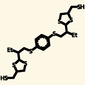 CCC(CSc1ccc(SCC(CC)C2SCC(CS)S2)cc1)C1SCC(CS)S1